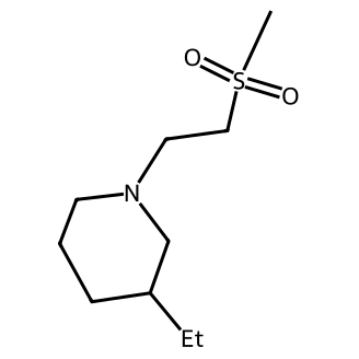 [CH2]CC1CCCN(CCS(C)(=O)=O)C1